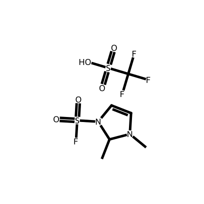 CC1N(C)C=CN1S(=O)(=O)F.O=S(=O)(O)C(F)(F)F